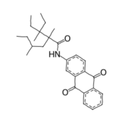 CCC(C)CC(C)(C(=O)Nc1ccc2c(c1)C(=O)c1ccccc1C2=O)C(C)(CC)CC